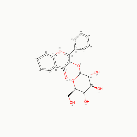 O=c1c(OC2O[C@H](CO)[C@@H](O)[C@H](O)[C@H]2O)c(-c2ccccc2)oc2ccccc12